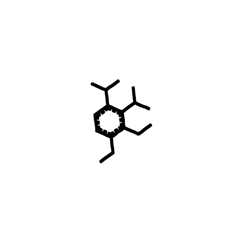 CCc1ccc(C(C)C)c(C(C)C)c1CC